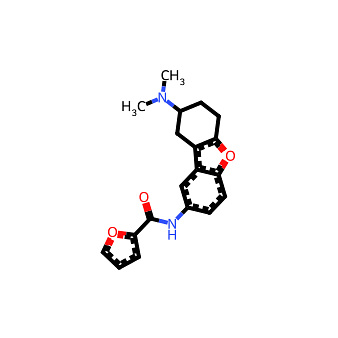 CN(C)C1CCc2oc3ccc(NC(=O)c4ccco4)cc3c2C1